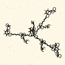 [C-]#[N+]CCOP(OCCCCCCO[C@@H]1OC(COC(C)=O)[C@H](C)[C@H](C)C1C)OCCCOCC(COCCCOP(OCCCCCCO[C@@H]1OC(COC(C)=O)[C@H](C)[C@H](C)C1C)OCC[N+]#[C-])(COCCCOP(OCCCCCCO[C@@H]1OC(COC(C)=O)[C@H](C)[C@H](C)C1NC(C)=O)OCC[N+]#[C-])COP(OCCC#N)N(C(C)C)C(C)C